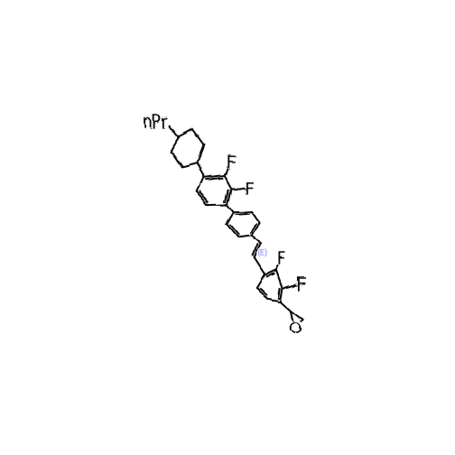 CCCC1CCC(c2ccc(-c3ccc(/C=C/c4ccc(C5CO5)c(F)c4F)cc3)c(F)c2F)CC1